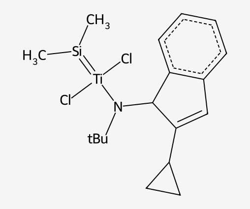 C[Si](C)=[Ti]([Cl])([Cl])[N](C1C(C2CC2)=Cc2ccccc21)C(C)(C)C